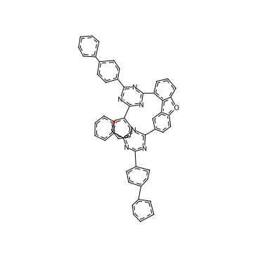 c1ccc(-c2ccc(-c3nc(-c4ccccc4)nc(-c4ccc5oc6cccc(-c7nc(-c8ccccc8)nc(-c8ccc(-c9ccccc9)cc8)n7)c6c5c4)n3)cc2)cc1